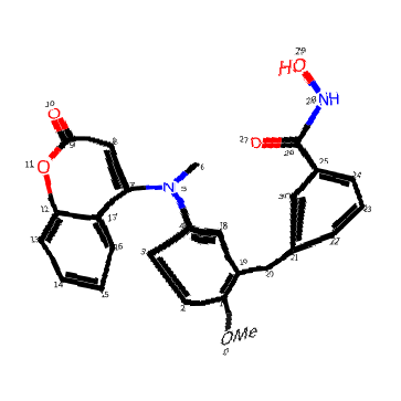 COc1ccc(N(C)c2cc(=O)oc3ccccc23)cc1Cc1cccc(C(=O)NO)c1